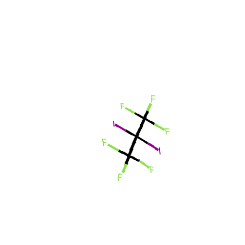 FC(F)(F)C(I)(I)C(F)(F)F